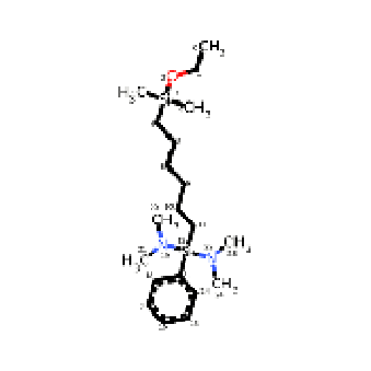 CCO[Si](C)(C)CCCCCC[Si](c1ccccc1)(N(C)C)N(C)C